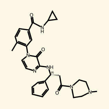 Cc1ccc(C(=O)NC2CC2)cc1-n1ccnc(N[C@H](CC(=O)N2CCN(C)CC2)c2ccccc2)c1=O